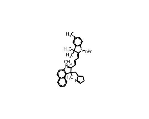 CCCN1/C(=C/C=C/C2=[N+](C)c3ccc4ccccc4c3C2(C)CC2=CCC=N2)C(C)(C)c2cc(C)ccc21